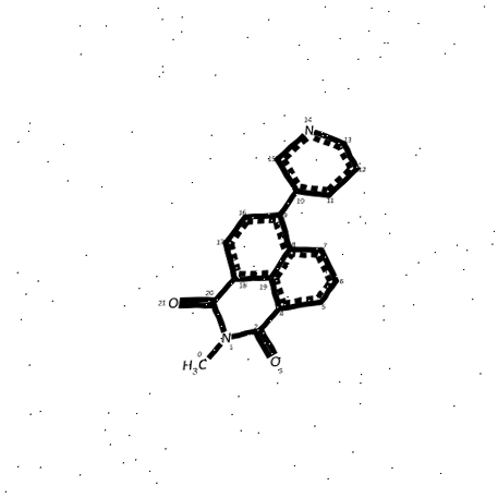 CN1C(=O)c2cccc3c(-c4cccnc4)ccc(c23)C1=O